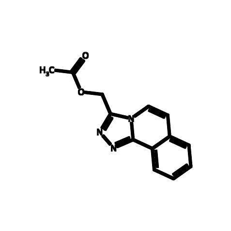 CC(=O)OCc1nnc2c3ccccc3ccn12